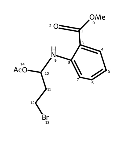 COC(=O)c1ccccc1NC(CCBr)OC(C)=O